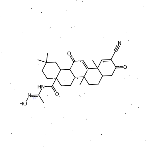 C/C(=N\O)NC(=O)C12CCC3C(C(=O)C=C4C5(C)C=C(C#N)C(=O)CC5CCC43C)C1CC(C)(C)CC2